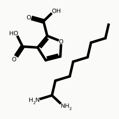 CCCCCCCC(N)N.O=C(O)c1ccoc1C(=O)O